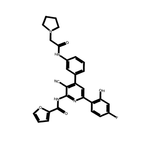 N#Cc1c(-c2cccc(NC(=O)CN3CCCC3)c2)cc(-c2ccc(F)cc2O)nc1NC(=O)c1ccco1